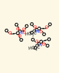 O=C(O)c1nc2c(OCc3ccccc3)c(C#CCOCc3ccccc3)ccc2c(OCc2ccccc2)c1Cc1ccccc1.O=C(O)c1nc2c(OCc3ccccc3)c(C#Cc3ccccc3)ccc2c(OCc2ccccc2)c1Cc1ccccc1.O=C(OCc1ccccc1)c1cc(OCc2ccccc2)c2cc(C#CCOCc3ccccc3)cc(OCc3ccccc3)c2n1